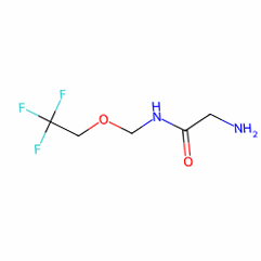 NCC(=O)NCOCC(F)(F)F